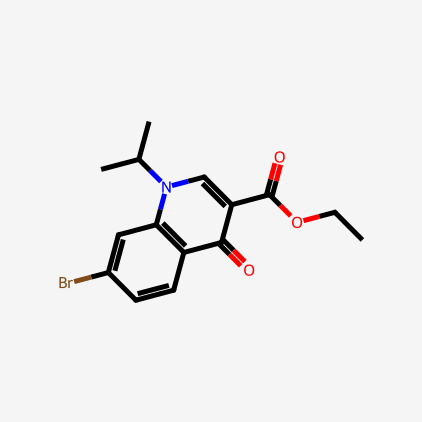 CCOC(=O)c1cn(C(C)C)c2cc(Br)ccc2c1=O